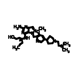 CCC[C@@H](CCO)Nc1nc(N)nc2cnn(Cc3ncc(C4CCN(CCN(C)C)CC4)cc3OC)c12